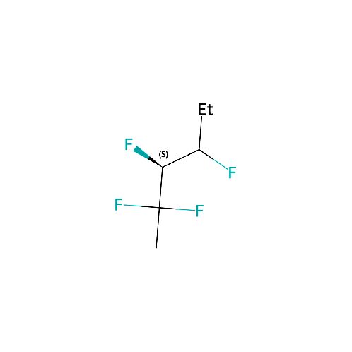 [CH2]CC(F)[C@H](F)C(C)(F)F